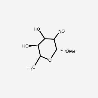 CO[C@@H]1OC(C)[C@@H](O)C(O)C1N=O